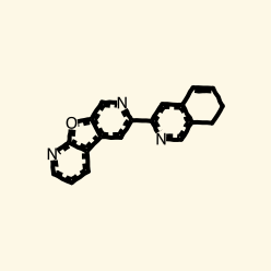 C1=Cc2cc(-c3cc4c(cn3)oc3ncccc34)ncc2CC1